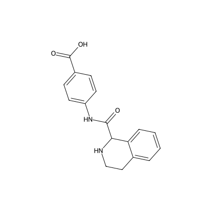 O=C(O)c1ccc(NC(=O)C2NCCc3ccccc32)cc1